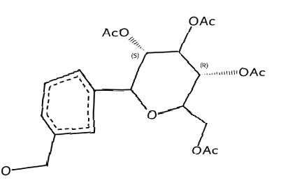 CC(=O)OCC1OC(c2cccc(CO)c2)[C@H](OC(C)=O)C(OC(C)=O)[C@@H]1OC(C)=O